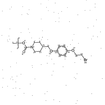 CC(C)(C)OC(=O)N1CCC(COc2ccc(OCCBr)cc2)CC1